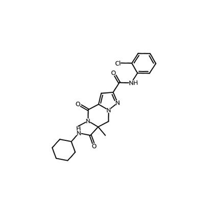 CN1C(=O)c2cc(C(=O)Nc3ccccc3Cl)nn2CC1(C)C(=O)NC1CCCCC1